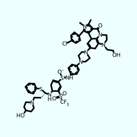 Cc1c2c(c(-c3ccc(Cl)cc3)n1C)C1C=C(N3CCN(c4ccc(N[S+]([O-])C5=CCC(N[C@H](CCN6CCC(O)CC6)Sc6ccccc6)C(S(=O)(=O)C(F)(F)F)=C5)cc4)CC3)CC3=C1N(CCN3CCO)C2=O